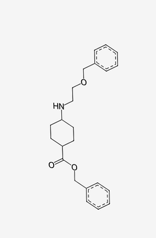 O=C(OCc1ccccc1)C1CCC(NCCOCc2ccccc2)CC1